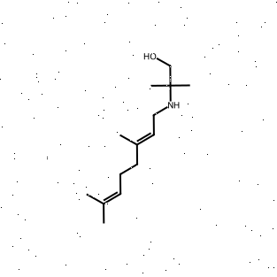 CC(C)=CCC/C(C)=C/CNC(C)(C)CO